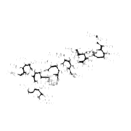 CO[C@@H]1OC(CO)[C@@H](O[C@@H]2OC(CO)[C@H](O[C@H]3OC(CO)[C@@H](OC)[C@H](O[C@@H]4OC(CO)[C@@H](O[C@@H]5OC(CO)[C@H](O)[C@H](O[C@@]6(C(=O)O)C[C@@H](O)[C@H](NC(C)=O)C(C(O)CNC(C)(C)C)O6)C5O)[C@H](O)C4NC(C)=O)C3O)[C@H](O[C@@H]3OC(CO)[C@@H](O)[C@H](O)C3O)C2O)[C@H](O)C1O